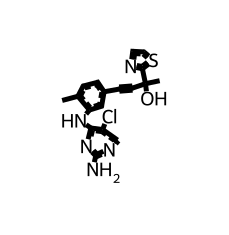 Cc1ccc(C#CC(C)(O)c2nccs2)cc1Nc1nc(N)ncc1Cl